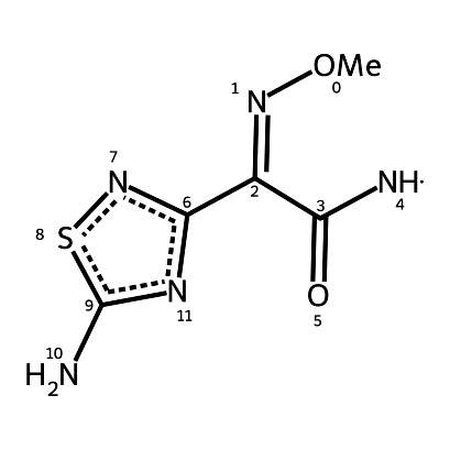 CON=C(C([NH])=O)c1nsc(N)n1